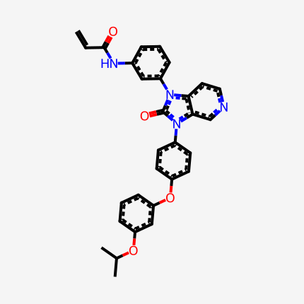 C=CC(=O)Nc1cccc(-n2c(=O)n(-c3ccc(Oc4cccc(OC(C)C)c4)cc3)c3cnccc32)c1